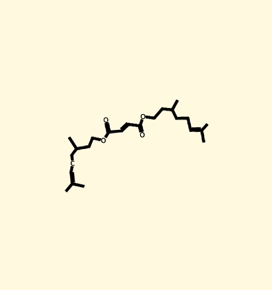 CC(C)=CCCC(C)CCOC(=O)C=CC(=O)OCCC(C)CCC=C(C)C